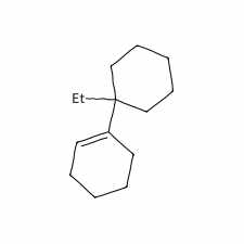 CCC1(C2=CCCCC2)CCCCC1